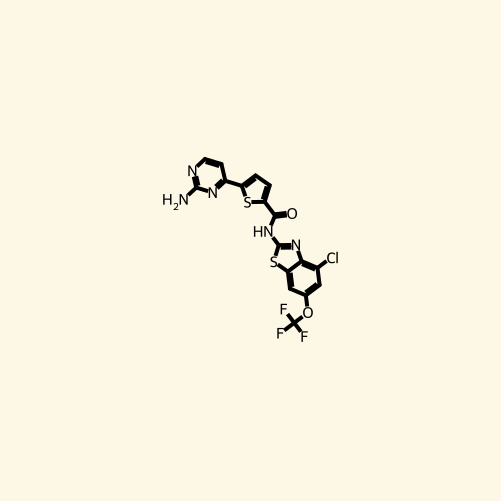 Nc1nccc(-c2ccc(C(=O)Nc3nc4c(Cl)cc(OC(F)(F)F)cc4s3)s2)n1